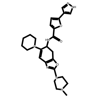 CN1CCN(c2nc3c(o2)CC(NC(=O)c2ccc(-c4cn[nH]c4)o2)C(N2CCCCC2)=C3)CC1